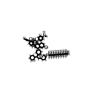 C1CCC(C(CC2CCCCN2)C2CCCCC2)CC1.CC#C[C@]1(O)CC[C@H]2[C@@H]3CCC4=CC(=O)CCC4=C3[C@@H](c3ccc(N(C)C)cc3)C[C@@]21C.FC(F)(F)C(F)(F)C(F)(F)C(F)(F)C(F)(F)C(F)(F)C(F)(F)C(F)(F)Br